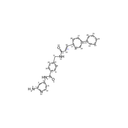 Nc1cc(NC(=O)c2ccc(CNC(=O)/C=C/c3ccc(-c4ccccc4)cc3)cc2)ccn1